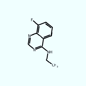 Fc1cccc2c(NCC(F)(F)F)ncnc12